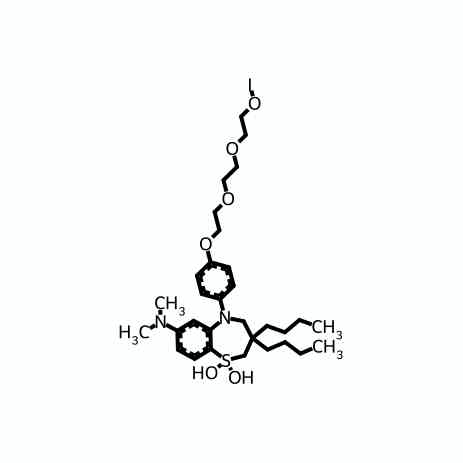 CCCCC1(CCCC)CN(c2ccc(OCCOCCOCCOI)cc2)c2cc(N(C)C)ccc2S(O)(O)C1